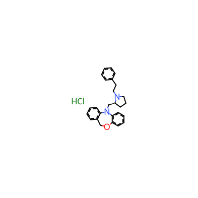 Cl.c1ccc(CCN2CCC[C@H]2CN2c3ccccc3COc3ccccc32)cc1